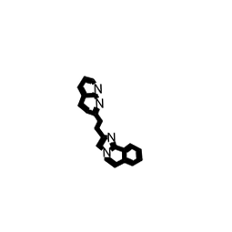 c1cnc2nc(CCc3cn4ccc5ccccc5c4n3)ccc2c1